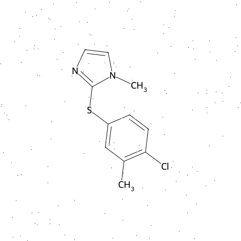 Cc1cc(Sc2nccn2C)ccc1Cl